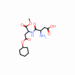 COC(=O)C(CC(=O)OC1CCCCC1)NC(=O)C(N)CC(=O)O